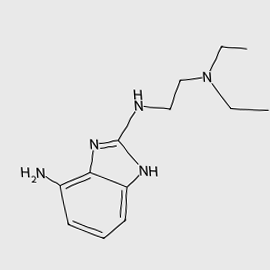 CCN(CC)CCNc1nc2c(N)cccc2[nH]1